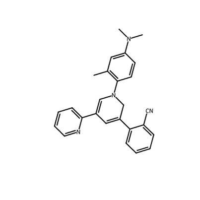 Cc1cc(N(C)C)ccc1N1C=C(c2ccccn2)C=C(c2ccccc2C#N)C1